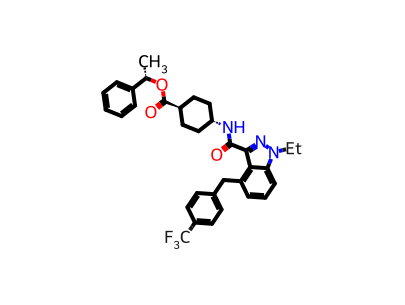 CCn1nc(C(=O)N[C@H]2CC[C@H](C(=O)O[C@@H](C)c3ccccc3)CC2)c2c(Cc3ccc(C(F)(F)F)cc3)cccc21